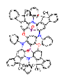 CC1(C)c2ccccc2-c2cc3c4c(c21)N(c1ccccc1)c1c2c(cc5c1P4(=O)c1c(c4c6c(c1N5c1ccccc1)Oc1cc5c(c7c1P6(=O)c1c(cc6c(c1N7c1ccccc1)C(C)(C)c1ccccc1-6)N4c1ccccc1)C(C)(C)c1ccccc1-5)O3)-c1ccccc1C2(C)C